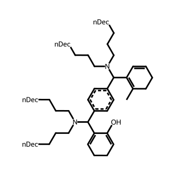 CCCCCCCCCCCCCN(CCCCCCCCCCCCC)C(C1=CCCC=C1O)c1ccc(C(C2=C(C)CCC=C2)N(CCCCCCCCCCCCC)CCCCCCCCCCCCC)cc1